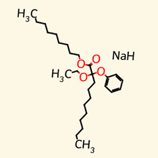 CCCCCCCCCOC(=O)C(CCCCCCCCC)(OCC)Oc1ccccc1.[NaH]